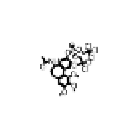 COc1cc2c(c(OC)c1OC)-c1ccc(OP(=O)(OCC(Cl)(Cl)Cl)OCC(Cl)(Cl)Cl)cc1[C@@H](NC(C)=O)CC2